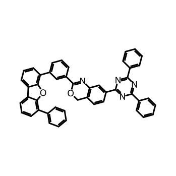 c1ccc(-c2nc(-c3ccccc3)nc(-c3ccc4c(c3)N=C(c3cccc(-c5cccc6c5oc5c(-c7ccccc7)cccc56)c3)OC4)n2)cc1